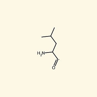 CC(C)CC(N)[C]=O